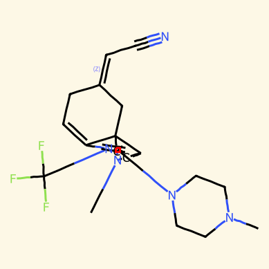 CN1CCN(C2=C3CN(C)CC34C/C(=C\C#N)CC=C4N(C(F)(F)F)C=C2)CC1